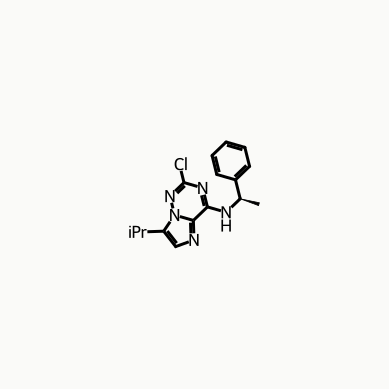 CC(C)c1cnc2c(N[C@H](C)c3ccccc3)nc(Cl)nn12